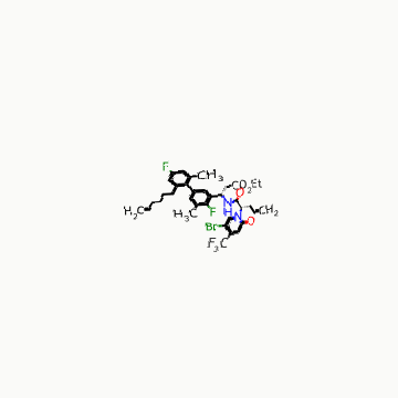 C=CCCCCc1cc(F)cc(C)c1-c1cc(C)c(F)c([C@H](CC(=O)OCC)NC(=O)[C@H](CC=C)n2cc(Br)c(C(F)(F)F)cc2=O)c1